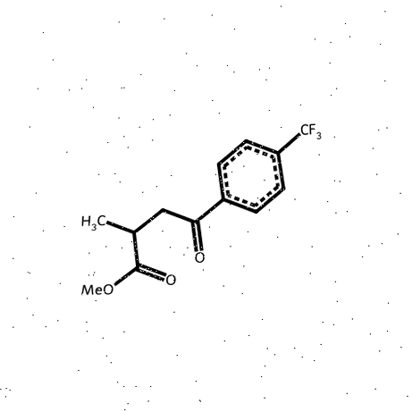 COC(=O)C(C)CC(=O)c1ccc(C(F)(F)F)cc1